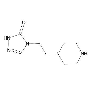 O=c1[nH]ncn1CCN1CCNCC1